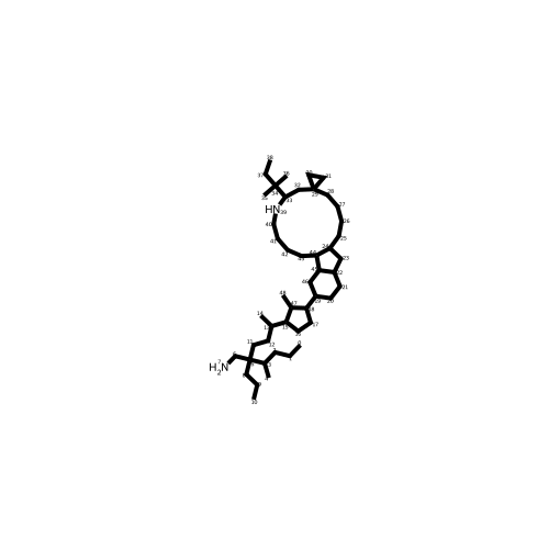 CCCC(C)C(CN)(CCC)CCC(C)C1CCC(C2CCC3CC4CCCCC5(CC5)CC(C(C)(C)CC)NCCCCC4C3C2)C1C